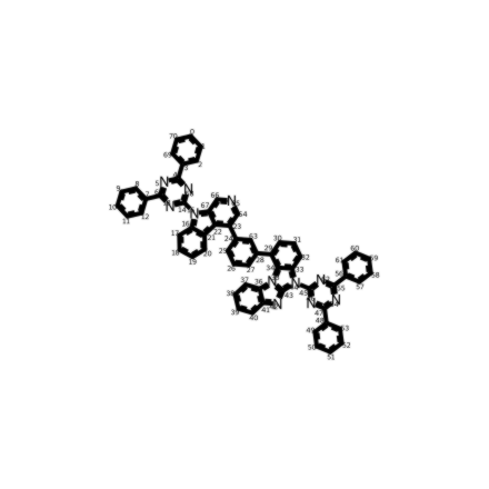 c1ccc(-c2nc(-c3ccccc3)nc(-n3c4ccccc4c4c(-c5cccc(-c6cccc7c6n6c8ccccc8nc6n7-c6nc(-c7ccccc7)nc(-c7ccccc7)n6)c5)cncc43)n2)cc1